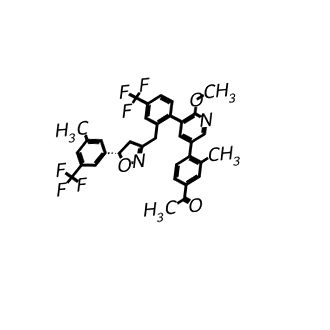 COc1ncc(-c2ccc(C(C)=O)cc2C)cc1-c1ccc(C(F)(F)F)cc1CC1=NO[C@H](c2cc(C)cc(C(F)(F)F)c2)C1